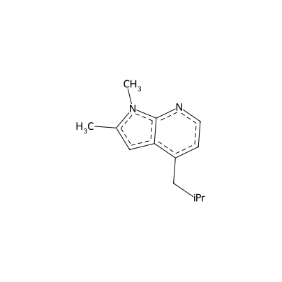 Cc1cc2c(CC(C)C)ccnc2n1C